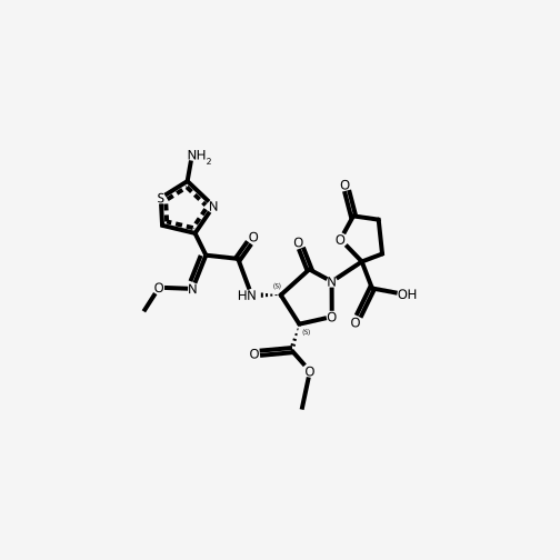 CON=C(C(=O)N[C@@H]1C(=O)N(C2(C(=O)O)CCC(=O)O2)O[C@@H]1C(=O)OC)c1csc(N)n1